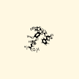 CC(C)Oc1cc(-n2nc(C(C)(C)C)oc2=O)c(Cl)cc1Cl.CCCCCCCCSC(=O)Oc1cc(Cl)nnc1-c1ccccc1.CP(=O)(O)CCC(N)C(=O)O